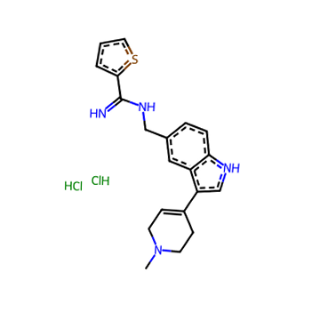 CN1CC=C(c2c[nH]c3ccc(CNC(=N)c4cccs4)cc23)CC1.Cl.Cl